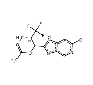 CC(=O)OC(c1nc2cnc(Cl)cc2[nH]1)[C@H](C)C(F)(F)F